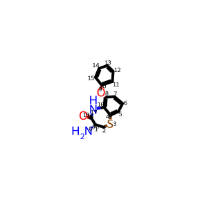 N[C@H]1CSc2cccc(Oc3ccccc3)c2NC1=O